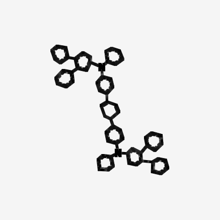 C1=CC(c2ccc(N(c3ccccc3)c3ccc(-c4ccccc4)c(-c4ccccc4)c3)cc2)CC=C1c1ccc(N(c2ccccc2)c2ccc(-c3ccccc3)c(-c3ccccc3)c2)cc1